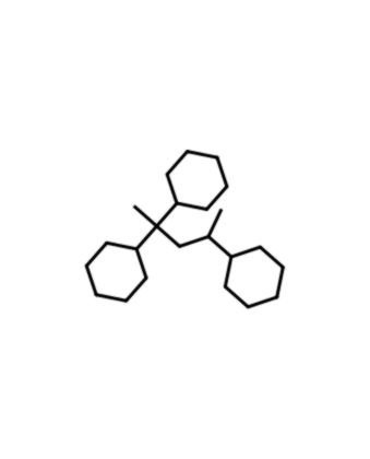 CC(CC(C)(C1CCCCC1)C1CCCCC1)C1CCCCC1